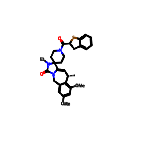 CCN1C(=O)N2Cc3cc(OC)cc(OC)c3[C@@H](C)C=C2C12CCN(C(=O)C1Cc3ccccc3S1)CC2